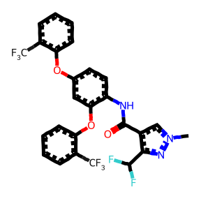 Cn1cc(C(=O)Nc2ccc(Oc3ccccc3C(F)(F)F)cc2Oc2ccccc2C(F)(F)F)c(C(F)F)n1